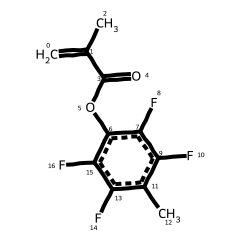 C=C(C)C(=O)Oc1c(F)c(F)c(C)c(F)c1F